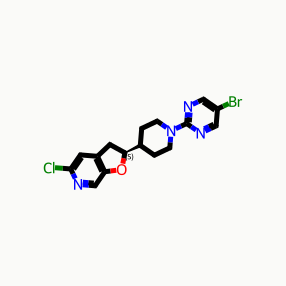 Clc1cc2c(cn1)O[C@H](C1CCN(c3ncc(Br)cn3)CC1)C2